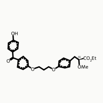 CCOC(=O)[C@H](Cc1ccc(OCCCOc2ccc(C(=O)c3ccc(O)cc3)cc2)cc1)OC